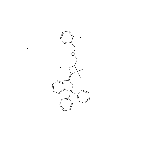 CC(C[P+](c1ccccc1)(c1ccccc1)c1ccccc1)=C1CC(COCc2ccccc2)C1(C)C